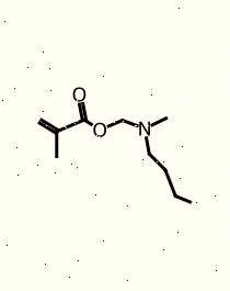 C=C(C)C(=O)OCN(C)CCCC